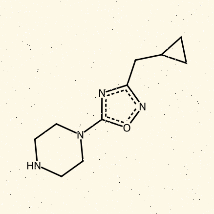 C1CN(c2nc(CC3CC3)no2)CCN1